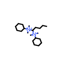 CCCCC([N+](C)(C)C1CCCCC1)[N+](C)(C)C1CCCCC1